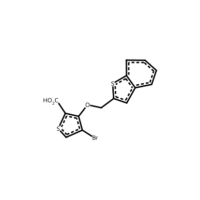 O=C(O)c1scc(Br)c1OCc1cc2ccccc2s1